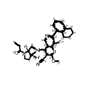 C=CC(=O)N1CC[C@@H]2[C@H]1CN2c1c(C#N)c(OC)nc2c(F)c(-c3cccc4c3CCCC4)ncc12